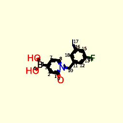 O=c1cc(B(O)O)ccn1Cc1cc(F)cc(I)c1